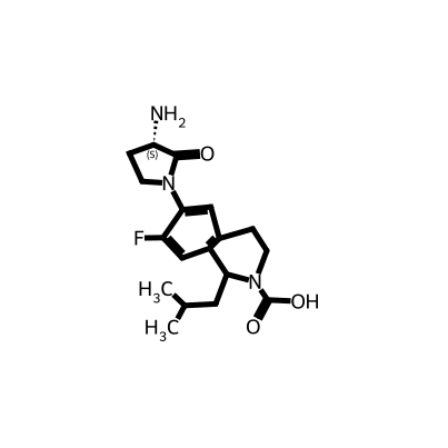 CC(C)CC1c2cc(F)c(N3CC[C@H](N)C3=O)cc2CCN1C(=O)O